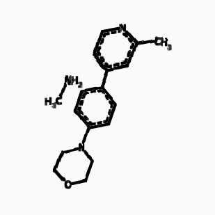 CN.Cc1cc(-c2ccc(N3CCOCC3)cc2)ccn1